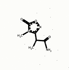 C[C](C(N)=O)c1noc(=O)n1C